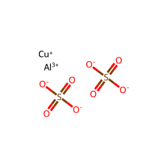 O=S(=O)([O-])[O-].O=S(=O)([O-])[O-].[Al+3].[Cu+]